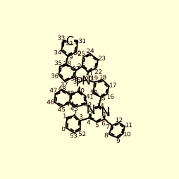 c1ccc(-c2cc(-c3ccccc3)nc(-c3cccc(N4c5ccccc5-c5c(-c6ccccc6)cccc5P4c4cccc5ccccc45)c3)n2)cc1